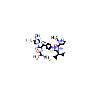 CCn1nccc1C(=O)N[C@H](C(=O)Nc1ccc([C@H](C)[C@@H](NC(=O)[C@H](C)NC)C(=O)N2CCN(C)[C@H](C)C2)cc1F)C(C1CC1)C1CC1